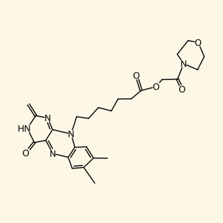 C=c1nc2c(c(=O)[nH]1)=Nc1cc(C)c(C)cc1N2CCCCCCC(=O)OCC(=O)N1CCOCC1